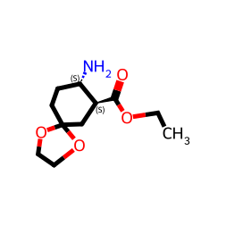 CCOC(=O)[C@H]1CC2(CC[C@@H]1N)OCCO2